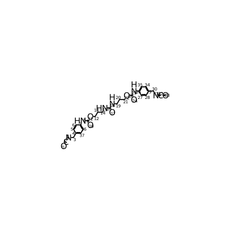 O=C=NCc1ccc(NC(=O)OCCCNC(=O)NCCCOC(=O)Nc2ccc(CN=C=O)cc2)cc1